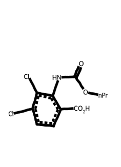 CCCOC(=O)Nc1c(C(=O)O)ccc(Cl)c1Cl